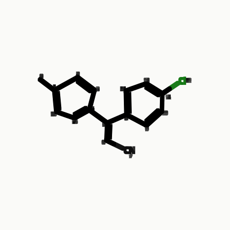 Cc1ccc(C(=CC#N)c2ccc(Cl)cc2)cc1